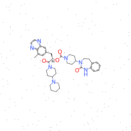 Cc1cc(C[C@@H](OC(=O)N2CCC(N3CCc4ccccc4NC3=O)CC2)C(=O)N2CCC(N3CCCCC3)CC2)cc2nccnc12